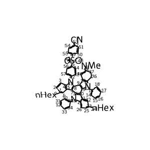 CCCCCCc1ccc2c(c1)c1c(c3c4c(n(-c5ccccc5)c3c3c5cc(CCCCCC)ccc5n(-c5ccccc5)c31)CCC(NC)=C4)n2-c1ccc(S(=O)(=O)c2ccc(C#N)cc2)cc1